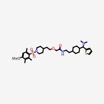 COc1cc(C)c(S(=O)(=O)N2CCC(CCOCC(=O)NCCC3CCC(C(c4cccs4)N(C)C)CC3)CC2)c(C)c1C